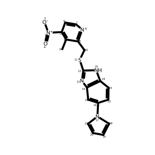 Cc1c([N+](=O)[O-])ccnc1CSc1nc2cc(-n3cccc3)ccc2[nH]1